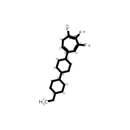 CCC1CCC(C2CCC(C3=CCC(F)=C(F)C(F)=C3)CC2)CC1